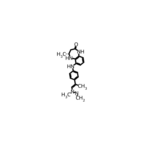 C=NN(C)/C=C(\C)c1ccc(Nc2cccc3c2N[C@H](C)CC(=O)N3)cc1